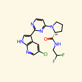 O=C(NCC(F)F)[C@H]1CCCN1c1ccnc(-c2c[nH]c3ncc(Cl)cc23)n1